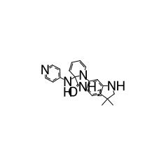 CC1(C)CNc2cc(N3C=CC=CC3(Nc3ccncc3)C(N)=O)ccc21